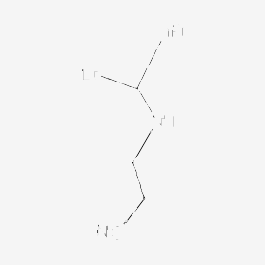 CCCC(CC)NCCC#N